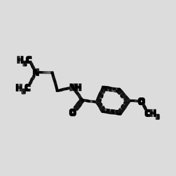 COc1ccc(C(=O)NCCN(C)C)cc1